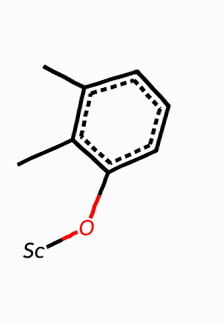 Cc1cccc([O][Sc])c1C